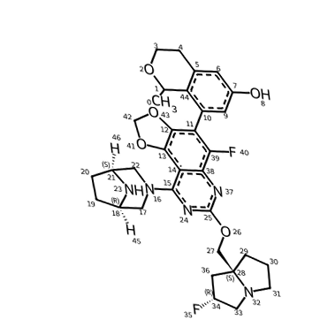 CC1OCCc2cc(O)cc(-c3c4c(c5c(N6C[C@H]7CC[C@@H](C6)N7)nc(OC[C@@]67CCCN6C[C@H](F)C7)nc5c3F)OCO4)c21